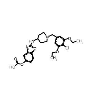 CCOc1cc(CN2CCC(Nc3nc4cc(OC(=O)O)ccc4o3)CC2)cc(OCC)c1Cl